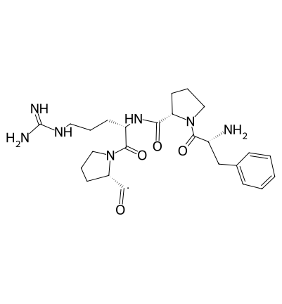 N=C(N)NCCC[C@H](NC(=O)[C@@H]1CCCN1C(=O)[C@H](N)Cc1ccccc1)C(=O)N1CCC[C@H]1[C]=O